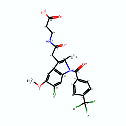 COc1cc2c(CC(=O)NCCC(=O)O)c(C)n(C(=O)c3ccc(C(F)(F)F)cc3)c2cc1Cl